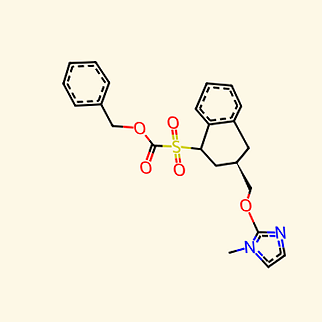 Cn1ccnc1OC[C@@H]1Cc2ccccc2C(S(=O)(=O)C(=O)OCc2ccccc2)C1